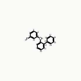 Fc1cccc(Oc2c[c]ccc2-c2ccccc2)c1